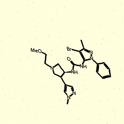 COCCN1CC(c2cnn(C)c2)[C@H](NC(=O)Nc2c(Br)c(C)nn2-c2ccccc2)C1